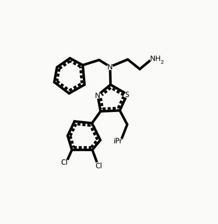 CC(C)Cc1sc(N(CCN)Cc2ccccc2)nc1-c1ccc(Cl)c(Cl)c1